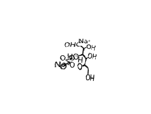 O=CC(O)C(O)C(O)C(O)CO.O=S(=O)([O-])[O-].[Na+].[Na+]